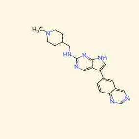 CN1CCC(CNc2ncc3c(-c4ccc5ncncc5c4)c[nH]c3n2)CC1